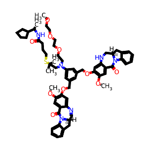 COCCOCCOCCN(CC(C)(C)SCCCC(=O)NC(C)C1CCCC1)c1cc(COc2cc3c(cc2OC)C(=O)N2c4ccccc4C[C@H]2C=N3)cc(COc2cc3c(cc2OC)C(=O)N2c4ccccc4C[C@H]2CN3)c1